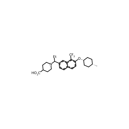 CCC(c1ccc2ccc(O[C@H]3CC[C@@H](C)CC3)c(C(F)(F)F)c2c1)N1CCC(C(=O)O)CC1